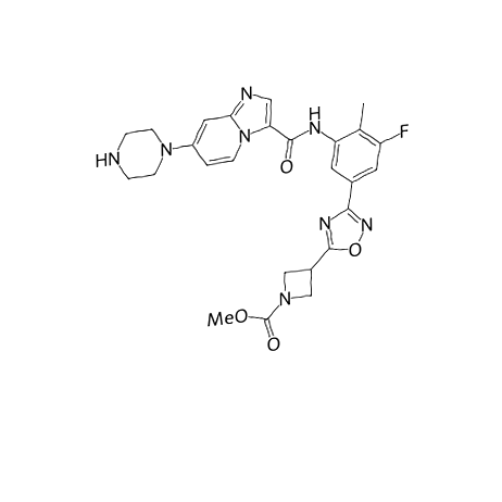 COC(=O)N1CC(c2nc(-c3cc(F)c(C)c(NC(=O)c4cnc5cc(N6CCNCC6)ccn45)c3)no2)C1